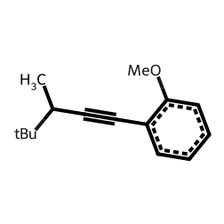 COc1ccccc1C#CC(C)C(C)(C)C